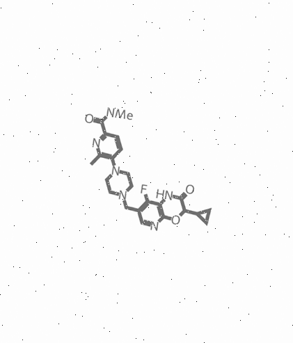 CNC(=O)c1ccc(N2CCN(Cc3cnc4c(c3F)NC(=O)C(C3CC3)O4)CC2)c(C)n1